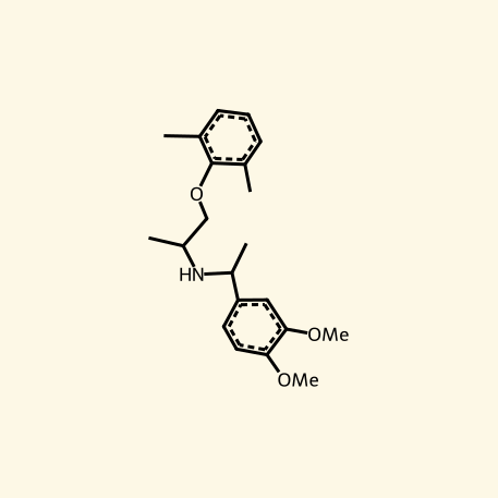 COc1ccc(C(C)NC(C)COc2c(C)cccc2C)cc1OC